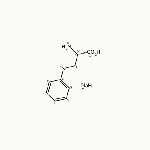 N[C@@H](CSc1ccccc1)C(=O)O.[NaH]